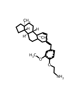 COc1cc(/C=C2/C=C[C@@]3(C)C(CC[C@H]4[C@@H]5CCC[C@@]5(C)CC[C@@H]43)C2)ccc1OCCN